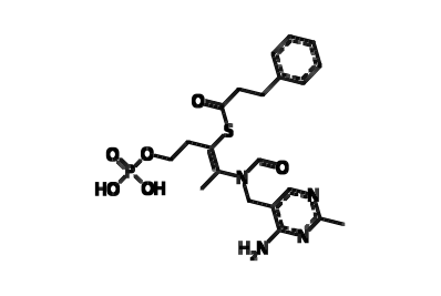 C/C(=C(\CCOP(=O)(O)O)SC(=O)CCc1ccccc1)N(C=O)Cc1cnc(C)nc1N